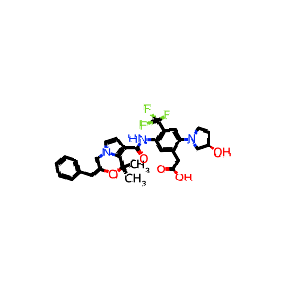 CC1(C)OC(Cc2ccccc2)Cn2ccc(C(=O)Nc3cc(CC(=O)O)c(N4CC[C@@H](O)C4)cc3C(F)(F)F)c21